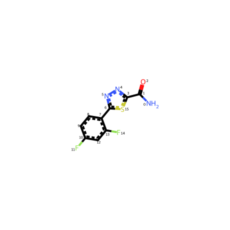 NC(=O)c1nnc(-c2ccc(F)cc2F)s1